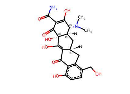 CN(C)[C@H]1C(O)=C(C(N)=O)C(=O)[C@]2(O)C(O)=C3C(=O)c4c(O)ccc(CO)c4C[C@@H]3C[C@H]12